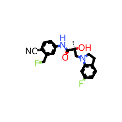 C[C@](O)(CN1CCc2ccc(F)cc21)C(=O)Nc1ccc(C#N)c(CF)c1